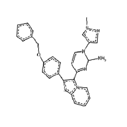 Cn1cc(N2C=CC(c3c(-c4ccc(OCc5ccccc5)cc4)nc4ccccn34)=NC2N)cn1